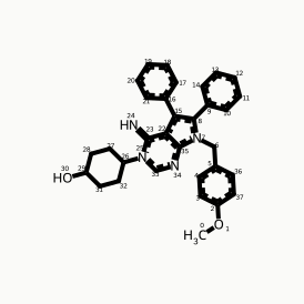 COc1ccc(Cn2c(-c3ccccc3)c(-c3ccccc3)c3c(=N)n(C4CCC(O)CC4)cnc32)cc1